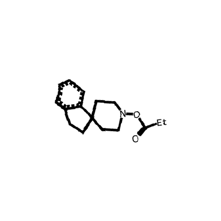 CCC(=O)ON1CCC2(CCc3ccccc32)CC1